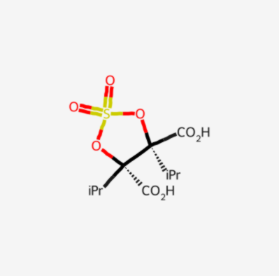 CC(C)[C@@]1(C(=O)O)OS(=O)(=O)O[C@]1(C(=O)O)C(C)C